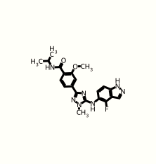 COc1cc(-c2nc(Nc3ccc4[nH]ncc4c3F)n(C)n2)ccc1C(=O)NC(C)C